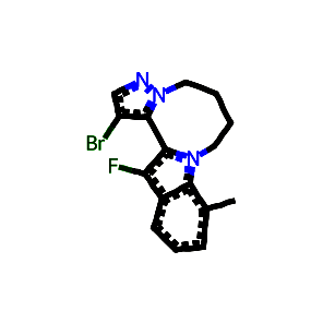 Cc1cccc2c(F)c3n(c12)CCCCn1ncc(Br)c1-3